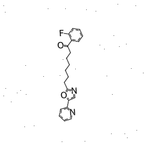 O=C(CCCCCCc1ncc(-c2ccccn2)o1)c1ccccc1F